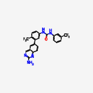 Nc1ncc2cc(-c3cc(NC(=O)Nc4cccc(C(F)(F)F)c4)ccc3C(F)(F)F)ccc2n1